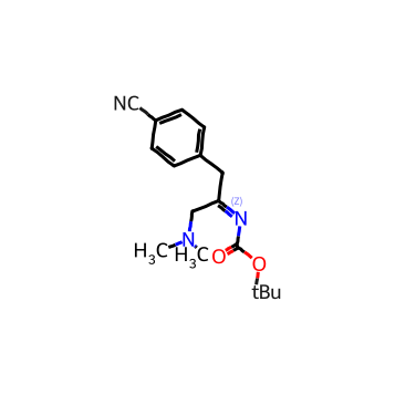 CN(C)C/C(Cc1ccc(C#N)cc1)=N\C(=O)OC(C)(C)C